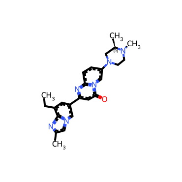 CCc1cc(-c2cc(=O)n3cc(N4CCN(C)[C@H](C)C4)ccc3n2)cn2cc(C)nc12